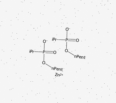 CCCCCOP(=O)([O-])C(C)C.CCCCCOP(=O)([O-])C(C)C.[Zn+2]